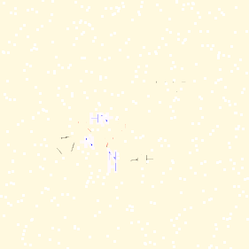 C=CCNC(=O)CN(C(=O)CNC(=O)CCCCCC(=O)OCC)c1ccccc1